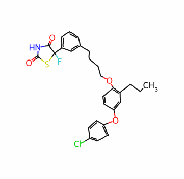 CCCc1cc(Oc2ccc(Cl)cc2)ccc1OCCCCc1cccc(C2(F)SC(=O)NC2=O)c1